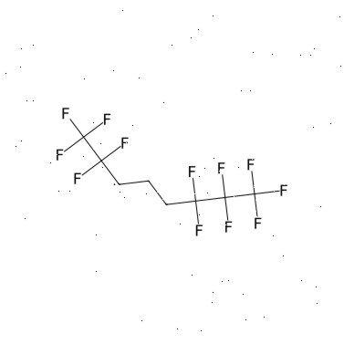 FC(F)(F)C(F)(F)[CH]CCC(F)(F)C(F)(F)C(F)(F)F